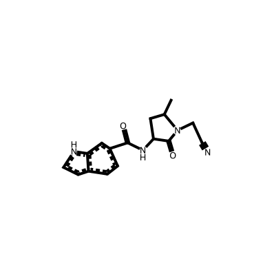 CC1CC(NC(=O)c2ccc3cc[nH]c3c2)C(=O)N1CC#N